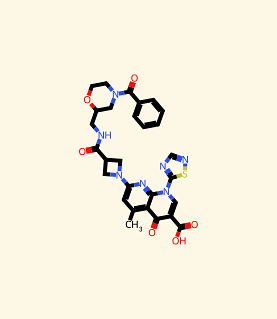 Cc1cc(N2CC(C(=O)NCC3CN(C(=O)c4ccccc4)CCO3)C2)nc2c1c(=O)c(C(=O)O)cn2-c1ncns1